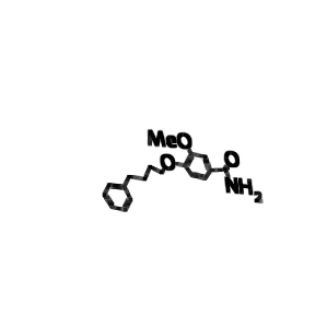 COc1cc(C(N)=O)ccc1OCCCCc1ccccc1